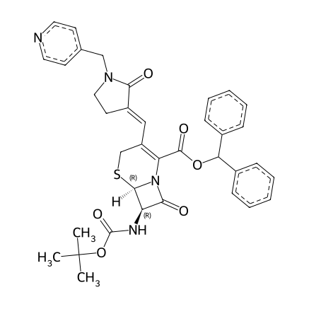 CC(C)(C)OC(=O)N[C@@H]1C(=O)N2C(C(=O)OC(c3ccccc3)c3ccccc3)=C(C=C3CCN(Cc4ccncc4)C3=O)CS[C@H]12